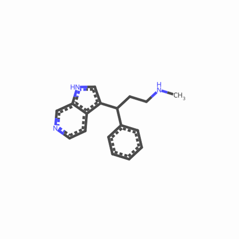 CNCCC(c1ccccc1)c1c[nH]c2cnccc12